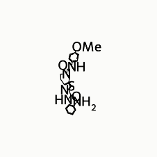 COc1ccc(NC(=O)N2CCc3nc(C(=O)Nc4ccccc4N)sc3C2)cc1